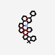 CC1(C)c2ccccc2-c2c(-c3cccc(N(c4ccc(-c5ccccc5)cc4)c4c(-c5ccccc5)cccc4-c4ccccc4)c3-c3ccccc3)cccc21